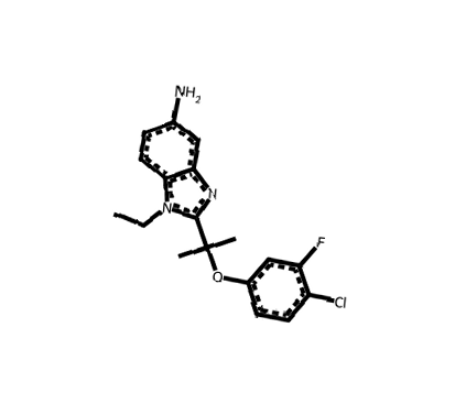 CCn1c(C(C)(C)Oc2ccc(Cl)c(F)c2)nc2cc(N)ccc21